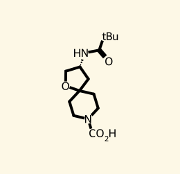 CC(C)(C)C(=O)N[C@H]1COC2(CCN(C(=O)O)CC2)C1